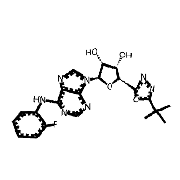 CC(C)(C)c1nnc([C@H]2O[C@@H](n3cnc4c(Nc5ccccc5F)ncnc43)[C@H](O)[C@@H]2O)o1